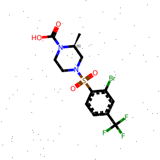 C[C@H]1CN(S(=O)(=O)c2ccc(C(F)(F)F)cc2Br)CCN1C(=O)O